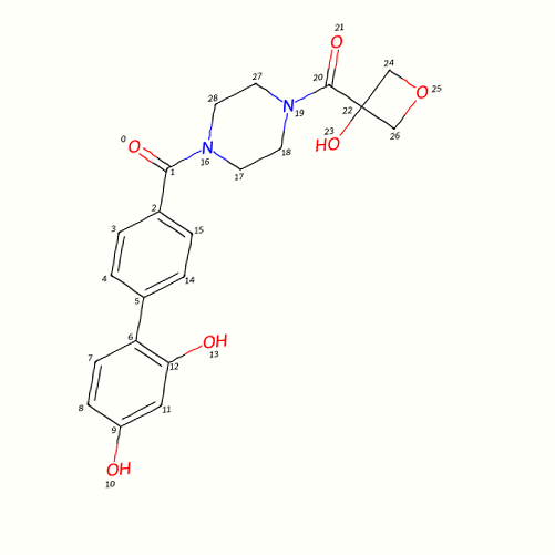 O=C(c1ccc(-c2ccc(O)cc2O)cc1)N1CCN(C(=O)C2(O)COC2)CC1